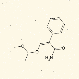 COC(C)OC=C(C(N)=O)c1ccccc1